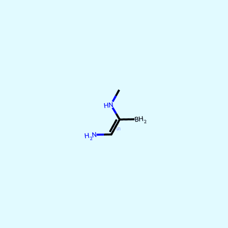 B/C(=C/N)NC